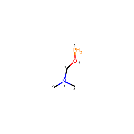 CN(C)COP